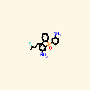 CC(F)CCCc1ccccc1P(=O)(c1cccc(N)c1)c1cccc(N)c1